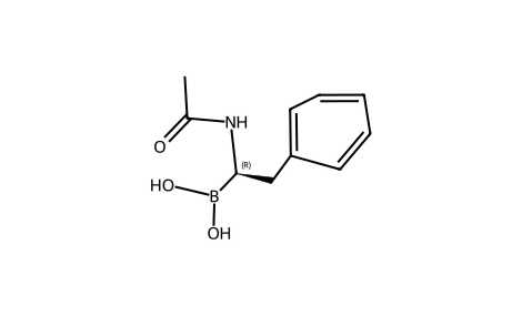 CC(=O)N[C@@H](Cc1ccccc1)B(O)O